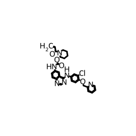 C=CC(=O)N1CCCCC1OC(=O)Nc1ccc2ncnc(Nc3ccc(OCc4ccccn4)c(Cl)c3)c2c1